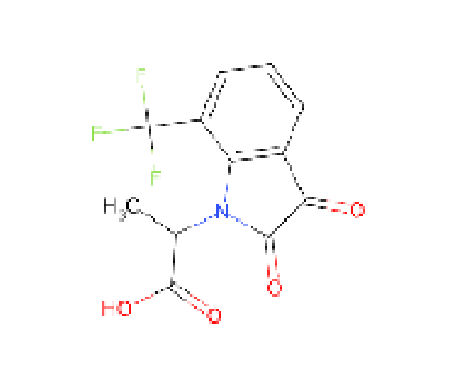 CC(C(=O)O)N1C(=O)C(=O)c2cccc(C(F)(F)F)c21